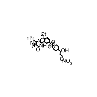 CCCc1nn(C)c2c(=O)[nH]c(-c3cc(S(=O)(=O)N4CCC(C(O)CCO[N+](=O)[O-])CC4)ccc3OCC)nc12